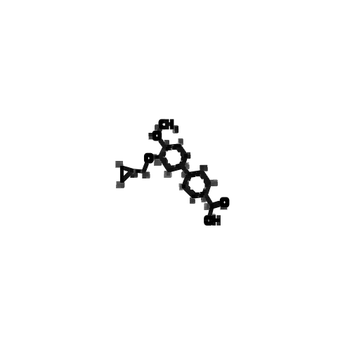 COc1ccc(-c2ccc(C(=O)O)cc2)cc1OCC1CC1